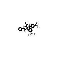 CCN(CC)c1ccc(C2(c3ccc(N(CC)CC)cc3)OC(=O)c3nc(-c4ccccc4)c(C)nc32)cc1